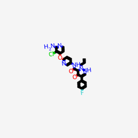 C=CCN1NC=C(c2ccc(F)cc2)C(=O)C1C(=O)Nc1ccc(Oc2ccnc(N)c2Cl)nc1